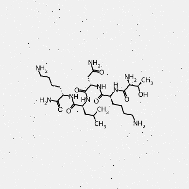 CC(C)C[C@H](NC(=O)[C@H](CC(N)=O)NC(=O)[C@H](CCCCN)NC(=O)[C@@H](N)[C@@H](C)O)C(=O)N[C@@H](CCCCN)C(N)=O